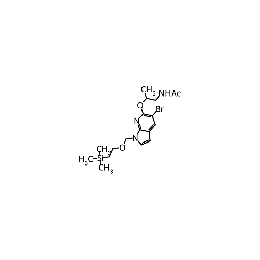 CC(=O)NCC(C)Oc1nc2c(ccn2COCC[Si](C)(C)C)cc1Br